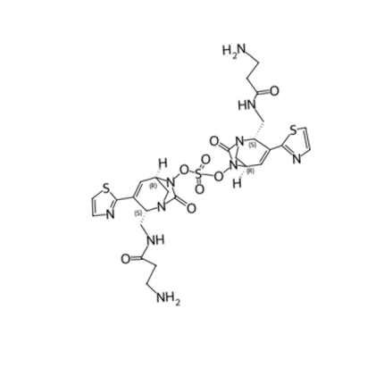 NCCC(=O)NC[C@@H]1C(c2nccs2)=C[C@@H]2CN1C(=O)N2OS(=O)(=O)ON1C(=O)N2C[C@H]1C=C(c1nccs1)[C@H]2CNC(=O)CCN